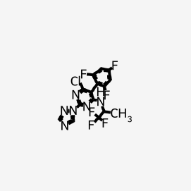 CC(Nc1nc(-n2cncn2)nc(Cl)c1-c1c(F)cc(F)cc1F)C(F)(F)F